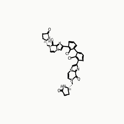 O=C1CC[C@@H](Cn2ccn3cc(-c4cccc(-c5cccc(-c6cn7ccn(C[C@@H]8CCC(=O)N8)c(=O)c7n6)c5Cl)c4Cl)nc3c2=O)N1